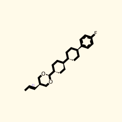 C/C=C/[C@H]1CO[C@H]([C@H]2CC[C@H]([C@H]3CC[C@H](c4ccc(F)cc4)CC3)CC2)OC1